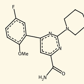 COc1ccc(F)cc1-c1cc(C(N)=O)nc(N2CCCCC2)n1